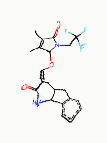 CC1=C(C)C(OC=C2C(=O)NC3c4ccccc4CC23)N(CC(F)(F)F)C1=O